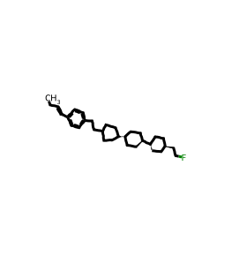 CC/C=C/c1ccc(CCC2CCC([C@H]3CC[C@H]([C@H]4CC[C@H](CCF)CC4)CC3)CC2)cc1